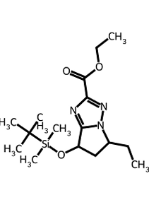 CCOC(=O)c1nc2n(n1)C(CC)CC2O[Si](C)(C)C(C)(C)C